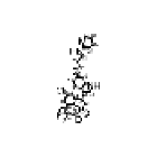 O=C(CC(c1cc(Cl)cc(Cl)c1)c1c[nH]c2cc(OCCCNc3ccccn3)ccc12)OC(=O)C(F)(F)F